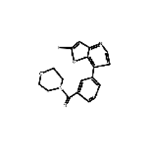 O=C(c1cccc(-c2ccnc3cc(I)oc23)c1)N1CCOCC1